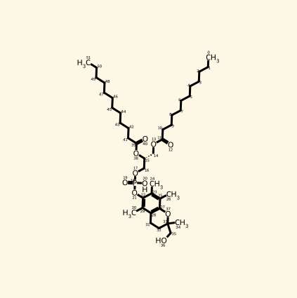 CCCCCCCCCCCC(=O)OC[C@H](COP(=O)(O)Oc1c(C)c(C)c2c(c1C)CCC(C)(CO)O2)OC(=O)CCCCCCCCCCC